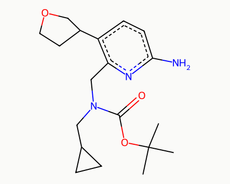 CC(C)(C)OC(=O)N(Cc1nc(N)ccc1C1CCOC1)CC1CC1